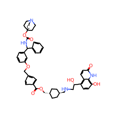 O=C(NC(c1ccccc1)c1cccc(OCc2ccc(C(=O)OC[C@H]3CC[C@H](CNC[C@H](O)c4ccc(O)c5[nH]c(=O)ccc45)CC3)cc2)c1)OC12CCN(CC1)CC2